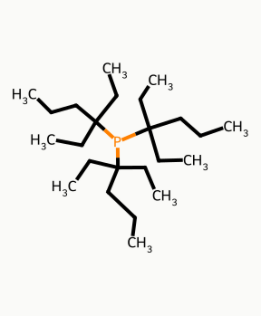 CCCC(CC)(CC)P(C(CC)(CC)CCC)C(CC)(CC)CCC